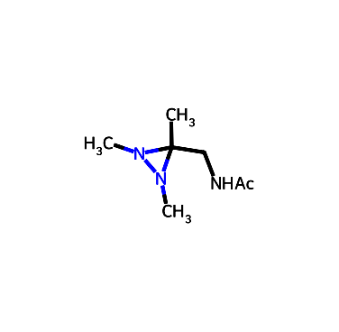 CC(=O)NCC1(C)N(C)N1C